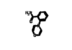 NC(=O)c1ccccc1N1C=COC=C1